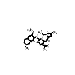 CCn1nc(C)cc1Nc1nc(Nc2cc3c(cc2OC)CCN(C)C3)ncc1C(N)=O